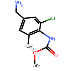 CCCOC(=O)Nc1c(C)cc(CN)cc1Cl